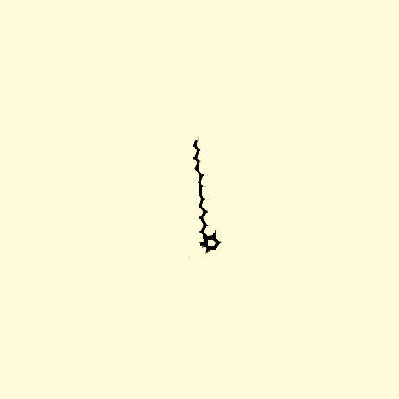 CCc1ccc(C(=O)O)c(C(=O)O)c1CCCCCCCCCCCCCCCC(C)C